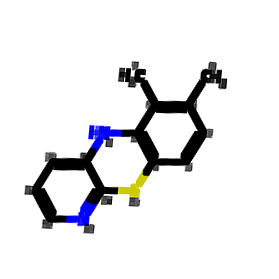 Cc1ccc2c(c1C)Nc1cccnc1S2